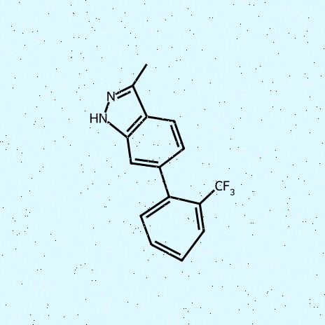 Cc1n[nH]c2cc(-c3ccccc3C(F)(F)F)ccc12